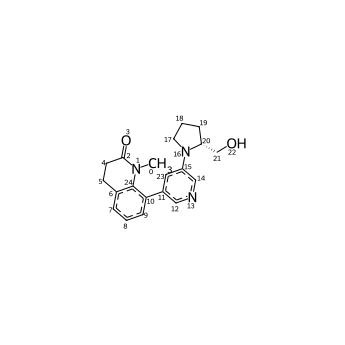 CN1C(=O)CCc2cccc(-c3cncc(N4CCC[C@@H]4CO)c3)c21